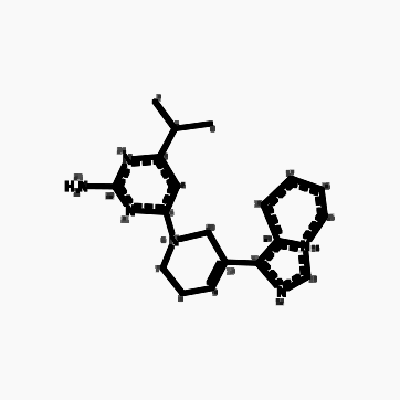 CC(C)c1cc(N2CCC=C(c3ncn4ccccc34)C2)nc(N)n1